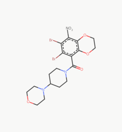 O=C(c1c(Br)c(Br)c([N+](=O)[O-])c2c1OCCO2)N1CCC(N2CCOCC2)CC1